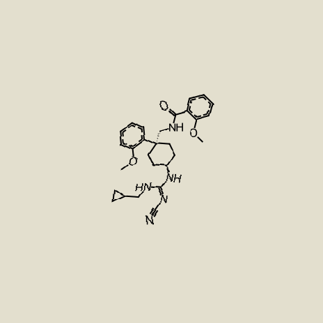 COc1ccccc1C(=O)NC[C@]1(c2ccccc2OC)CC[C@@H](N/C(=N/C#N)NCC2CC2)CC1